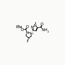 Cn1nc([C@@H]2C[C@H](F)CN2C(=O)OC(C)(C)C)cc1C(N)=O